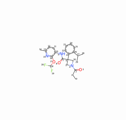 CCC(=O)N1CC(C(=O)Nc2ccc(C)nc2OC(F)F)(c2ccccc2C(C)C)C1